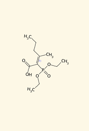 CCC/C(C)=C(\C(=O)O)P(=O)(OCC)OCC